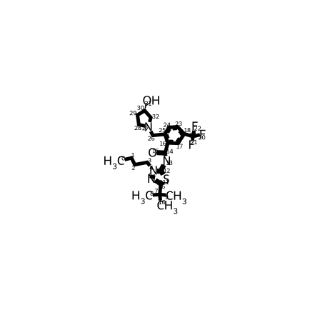 CCCCn1nc(C(C)(C)C)sc1=NC(=O)c1cc(C(F)(F)F)ccc1CN1CC[C@H](O)C1